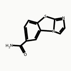 NC(=O)c1ccc2sc3nccn3c2c1